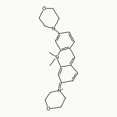 C[Si]1(C)C2=CC(=[N+]3CCOCC3)C=CC2=Cc2ccc(N3CCOCC3)cc21